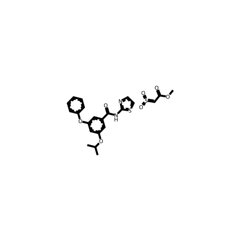 CC(C)Oc1cc(Oc2ccccc2)cc(C(=O)Nc2nccs2)c1.COC(=O)C=S(=O)=O